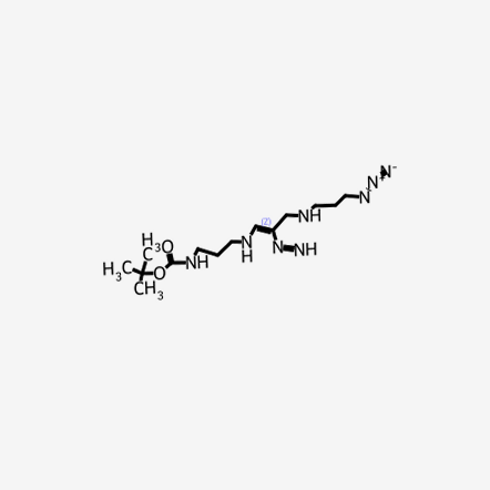 CC(C)(C)OC(=O)NCCCN/C=C(/CNCCCN=[N+]=[N-])N=N